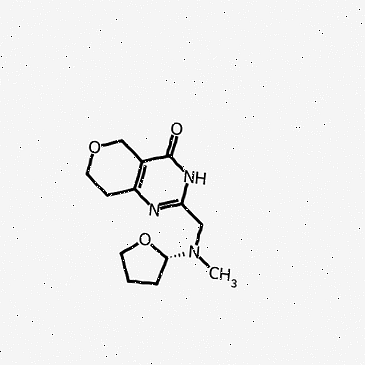 CN(Cc1nc2c(c(=O)[nH]1)COCC2)[C@@H]1CCCO1